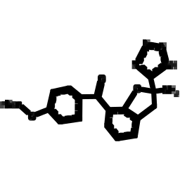 CCCCCCCCCOc1ccc(C(=O)c2cccc3c2OC(N)(c2nnn[nH]2)C3)cc1